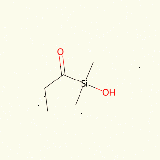 CCC(=O)[Si](C)(C)O